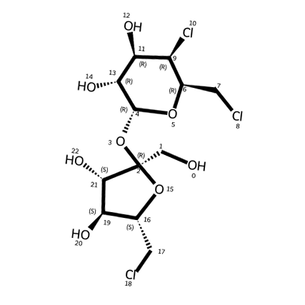 OC[C@]1(O[C@H]2O[C@H](CCl)[C@H](Cl)[C@H](O)[C@H]2O)O[C@H](CCl)[C@@H](O)[C@@H]1O